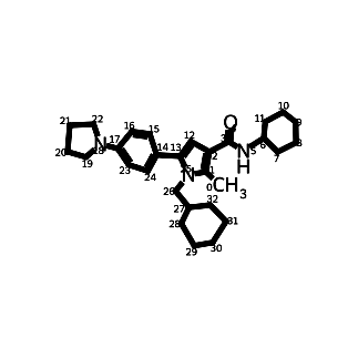 Cc1c(C(=O)NC2CCCCC2)cc(-c2ccc(N3CCCC3)cc2)n1CC1CCCCC1